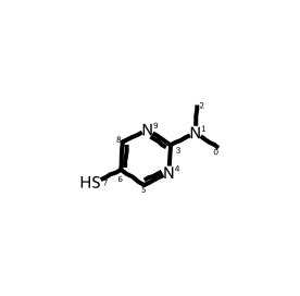 CN(C)c1ncc(S)cn1